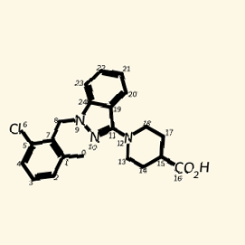 Cc1cccc(Cl)c1Cn1nc(N2CCC(C(=O)O)CC2)c2ccccc21